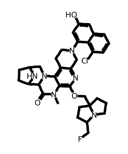 CN1C(=O)C2C3CCC(CN2c2c4c(nc(OCC56CCCN5C(CF)CC6)c21)CN(c1cc(O)cc2cccc(Cl)c12)CC4)N3